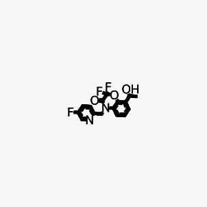 CC(O)c1cccc2c1OC(F)(F)C(=O)N2Cc1ccc(F)cn1